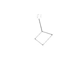 CCC1CCC1